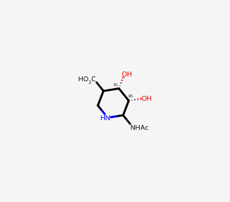 CC(=O)NC1NCC(C(=O)O)[C@H](O)[C@@H]1O